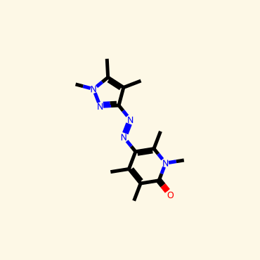 Cc1c(N=Nc2nn(C)c(C)c2C)c(C)n(C)c(=O)c1C